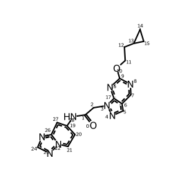 O=C(Cn1ncc2cnc(OCCC3CC3)nc21)Nc1ccn2ncnc2c1